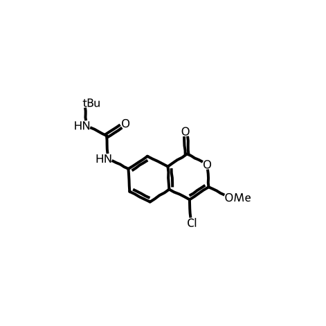 COc1oc(=O)c2cc(NC(=O)NC(C)(C)C)ccc2c1Cl